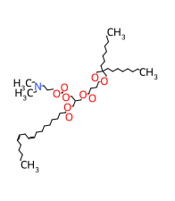 CCCCC/C=C\C/C=C\CCCCCCCC(=O)OCC(COC(=O)CCC1OCC(CCCCCCCC)(CCCCCCCC)CO1)COC(=O)OCCCN(CC)CC